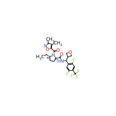 CC[C@@H]1CC[C@H](C(=O)NC(c2cc(F)c(C(F)(F)F)cc2F)C2COC2)N1C(=O)c1onc(C)c1C